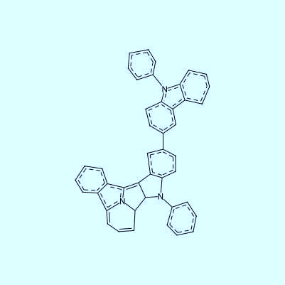 C1=CC2C3C(=c4c5ccccc5c(n42)=C1)c1cc(-c2ccc4c(c2)c2ccccc2n4-c2ccccc2)ccc1N3c1ccccc1